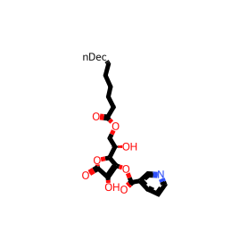 CCCCCCCCCCCCCCCC(=O)OC[C@@H](O)C1OC(=O)C(O)=C1OC(=O)c1cccnc1